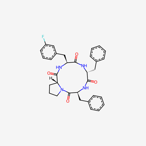 O=C1N[C@H](Cc2ccccc2)C(=O)N[C@@H](Cc2ccccc2)C(=O)N2CCC[C@@H]2C(=O)N[C@H]1Cc1cccc(F)c1